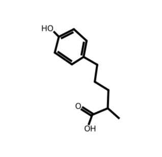 CC(CCCc1ccc(O)cc1)C(=O)O